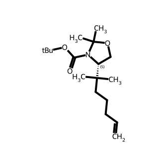 C=CCCCC(C)(C)[C@H]1COC(C)(C)N1C(=O)OC(C)(C)C